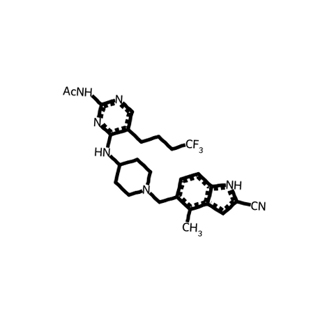 CC(=O)Nc1ncc(CCCC(F)(F)F)c(NC2CCN(Cc3ccc4[nH]c(C#N)cc4c3C)CC2)n1